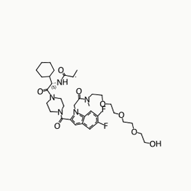 C[CH]C(=O)N[C@H](C(=O)N1CCN(C(=O)c2cc3cc(F)c(F)cc3n2CC(=O)N(C)CCOCCOCCOCCO)CC1)C1CCCCC1